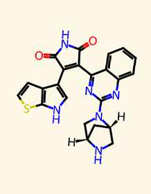 O=C1NC(=O)C(c2c[nH]c3sccc23)=C1c1nc(N2C[C@@H]3C[C@H]2CN3)nc2ccccc12